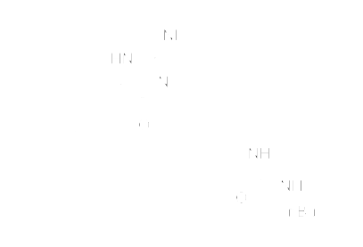 CCCCNC(=O)NCCCCN1C(=N)NC(c2ccccc2)(c2ccccc2)C1=O